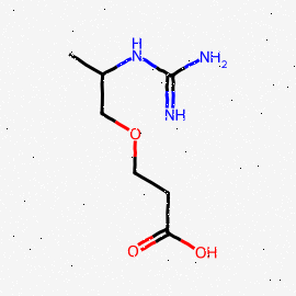 CC(COCCC(=O)O)NC(=N)N